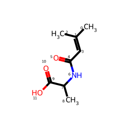 CC(C)=CC(=O)NC(C)C(=O)O